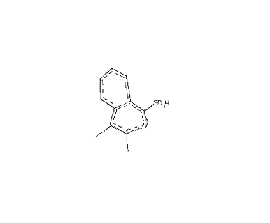 Cc1cc(S(=O)(=O)O)c2ccccc2c1C